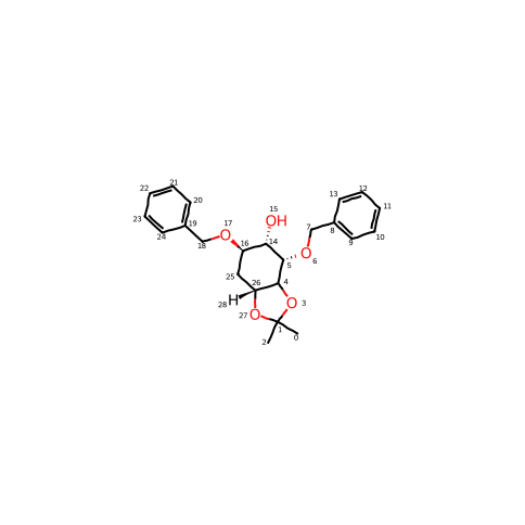 CC1(C)OC2[C@@H](OCc3ccccc3)[C@@H](O)[C@H](OCc3ccccc3)C[C@H]2O1